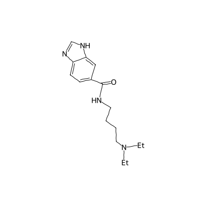 CCN(CC)CCCCNC(=O)c1ccc2nc[nH]c2c1